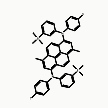 Cc1cc(N(c2ccc(F)cc2)c2cccc([Si](C)(C)C)c2)c2ccc3c(C)cc(N(c4ccc(F)cc4)c4cccc([Si](C)(C)C)c4)c4ccc1c2c34